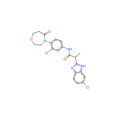 CC(C(=O)Nc1ccc(N2CCOCCC2=O)c(Cl)c1)c1nc2ccc(Cl)cc2[nH]1